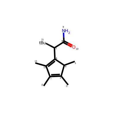 CC1=C(C)C(C)C(C(C(N)=O)C(C)(C)C)=C1C